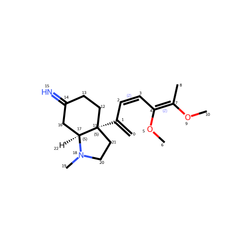 C=C(/C=C\C(OC)=C(/C)OC)[C@@]12CCC(=N)C[C@@H]1N(C)CC2